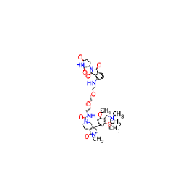 COc1cc(-c2cn(C)c(=O)c3c2CN(C(=O)NCCOCCOCCNc2cccc4c2C(=O)N(C2CCC(=O)NC2=O)C4=O)CC3)cc(OC)c1CN(C)C